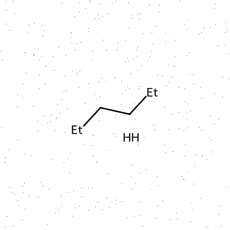 CCCCCC.[HH]